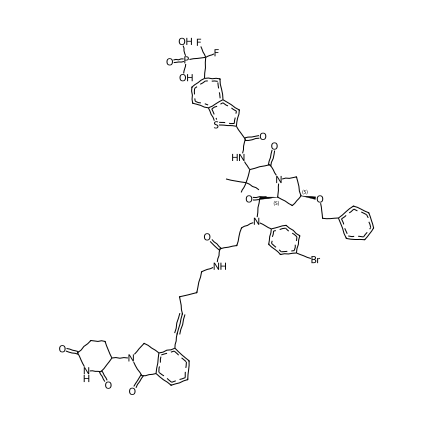 CC(C)(C)C(NC(=O)c1cc2cc(C(F)(F)P(=O)(O)O)ccc2s1)C(=O)N1C[C@@H](OCc2ccccc2)C[C@H]1C(=O)N(CCC(=O)NCCCC#Cc1cccc2c1CN(C1CCC(=O)NC1=O)C2=O)c1ccc(Br)cc1